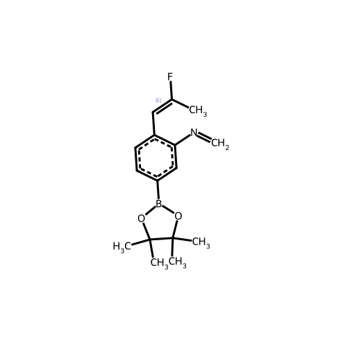 C=Nc1cc(B2OC(C)(C)C(C)(C)O2)ccc1/C=C(\C)F